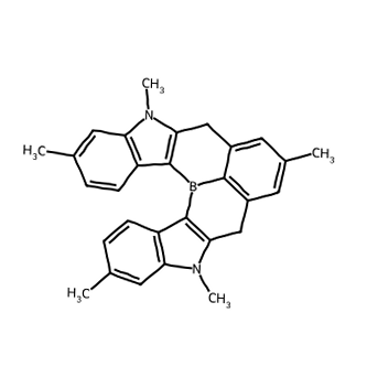 Cc1cc2c3c(c1)Cc1c(c4ccc(C)cc4n1C)B3c1c(n(C)c3cc(C)ccc13)C2